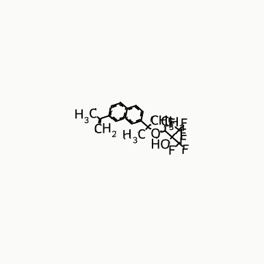 C=C(C)c1ccc2ccc(C(C)(C)OC(C)C(O)(C(F)(F)F)C(F)(F)F)cc2c1